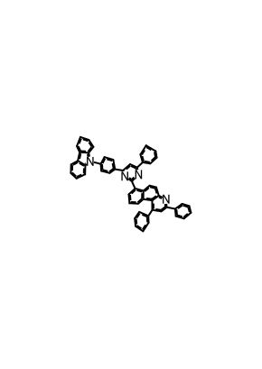 c1ccc(-c2cc(-c3ccc(-n4c5ccccc5c5ccccc54)cc3)nc(-c3cccc4c3ccc3nc(-c5ccccc5)cc(-c5ccccc5)c34)n2)cc1